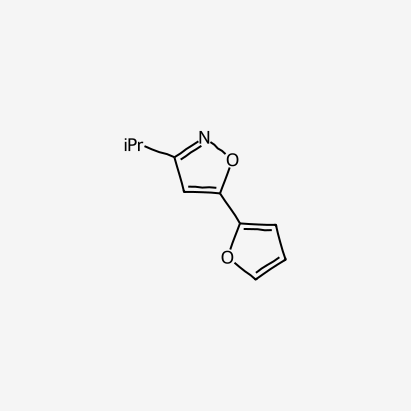 CC(C)c1cc(-c2ccco2)on1